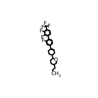 CCCC1CCC(C2CC=C(c3ccc(-c4ccc(C(F)(F)F)c(F)c4F)c(F)c3)CC2)OC1